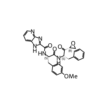 COc1ccc(C[C@H](NC(=O)c2nc3ncccc3[nH]2)C(=O)N[C@@H](Cc2ccccc2)C(=O)[C@H]2CO2)cc1